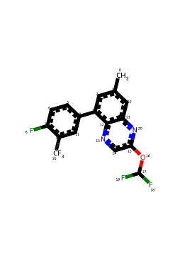 Cc1cc(-c2ccc(F)c(C(F)(F)F)c2)c2ncc(OC(F)F)nc2c1